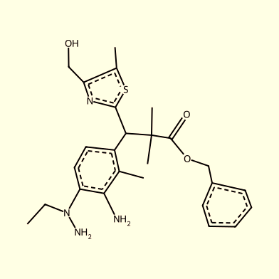 CCN(N)c1ccc(C(c2nc(CO)c(C)s2)C(C)(C)C(=O)OCc2ccccc2)c(C)c1N